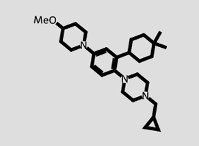 COC1CCN(c2ccc(N3CCN(CC4CC4)CC3)c(C3CCC(C)(C)CC3)c2)CC1